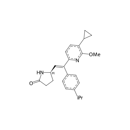 COc1nc(C(=C[C@H]2CCC(=O)N2)c2ccc(C(C)C)cc2)ccc1C1CC1